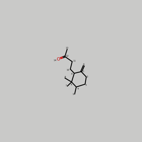 C=C1CCC(C)C(C)(C)C1CCC(C)=O